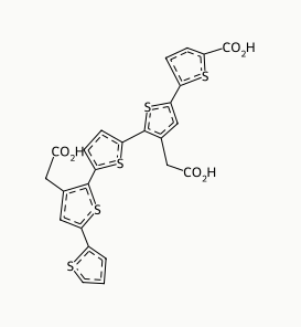 O=C(O)Cc1cc(-c2cccs2)sc1-c1ccc(-c2sc(-c3ccc(C(=O)O)s3)cc2CC(=O)O)s1